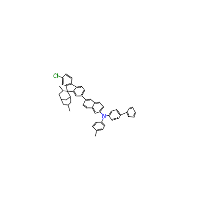 Cc1ccc(N(c2ccc(-c3ccccc3)cc2)c2ccc3cc(-c4ccc5c(c4)C4(c6cc(Cl)ccc6-5)C(C)CC5CC(C)CC4C5)ccc3c2)cc1